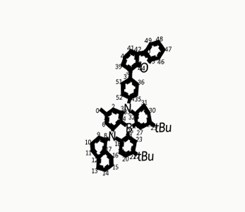 Cc1cc2c3c(c1)N(c1cccc4ccccc14)c1ccc(C(C)(C)C)cc1B3c1cc(C(C)(C)C)ccc1N2c1ccc(-c2cccc3c2oc2ccccc23)cc1